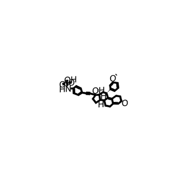 COc1cccc([C@H]2C[C@@]3(C)[C@@H](CC[C@@]3(O)C#Cc3ccc(NS(=O)(=O)O)cc3)[C@@H]3CCC4=CC(=O)CCC4=C32)c1